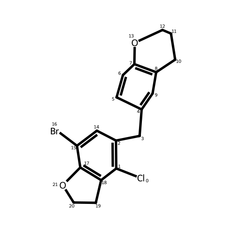 Clc1c(Cc2ccc3c(c2)CCCO3)cc(Br)c2c1CCO2